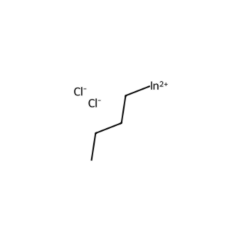 CCC[CH2][In+2].[Cl-].[Cl-]